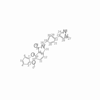 COc1ccccc1Oc1cccc2c1C(=O)N(Cc1ccc(-c3cnn(C)c3)cc1)C2